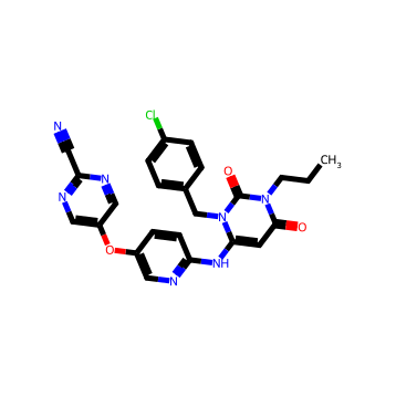 CCCn1c(=O)cc(Nc2ccc(Oc3cnc(C#N)nc3)cn2)n(Cc2ccc(Cl)cc2)c1=O